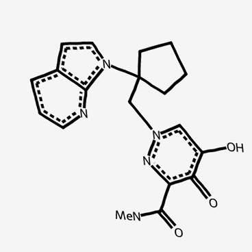 CNC(=O)c1nn(CC2(n3ccc4cccnc43)CCCC2)cc(O)c1=O